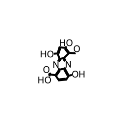 O=Cc1c(O)cc(O)c2nc3c(C(=O)O)ccc(O)c3nc12